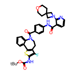 CC(C)(C)OC(=O)Nc1sc2c(c1F)CCN(C(=O)c1ccc(NC(=O)c3cccnc3N3CC4(CCOCC4)C3)cc1)c1ccccc1-2